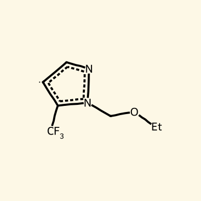 CCOCn1nc[c]c1C(F)(F)F